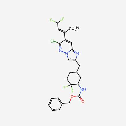 O=C(NC1CC(Cc2cn3nc(Cl)c(C(=CC(F)F)C(=O)O)cc3n2)CCC1(F)F)OCc1ccccc1